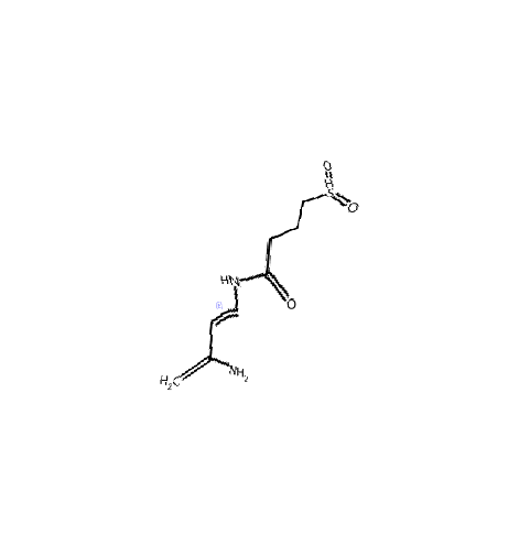 C=C(N)/C=C/NC(=O)CCC[SH](=O)=O